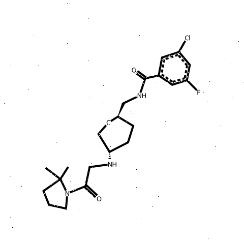 CC1(C)CCCN1C(=O)CN[C@H]1CC[C@H](CNC(=O)c2cc(F)cc(Cl)c2)CC1